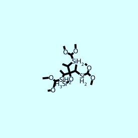 COC(OC)[SiH2]C(C)C(O[SiH3])(C(C)[SiH2]C(OC)OC)C(C)[SiH2]C(OC)OC